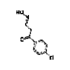 O=C(CC=NO)c1ccc(Cl)cc1